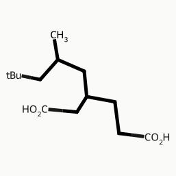 CC(CC(CCC(=O)O)CC(=O)O)CC(C)(C)C